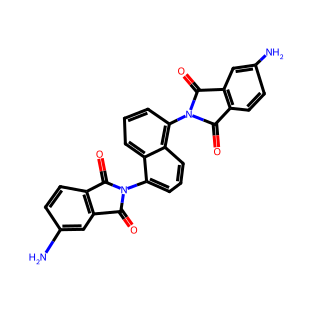 Nc1ccc2c(c1)C(=O)N(c1cccc3c(N4C(=O)c5ccc(N)cc5C4=O)cccc13)C2=O